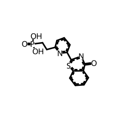 O=c1nc(-c2cccc(CCP(=O)(O)O)n2)sc2ccccc12